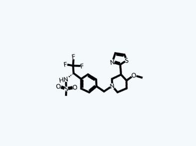 COC1CCN(Cc2ccc([C@H](NS(C)(=O)=O)C(F)(F)F)cc2)CC1c1nccs1